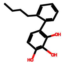 CCCCc1ccccc1-c1ccc(O)c(O)c1O